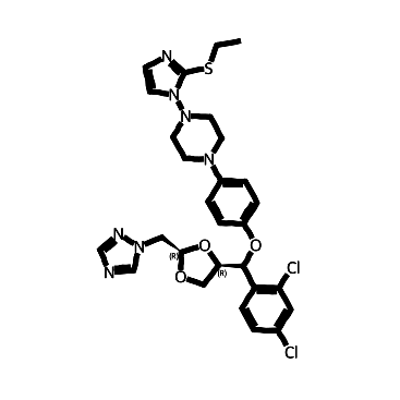 CCSc1nccn1N1CCN(c2ccc(OC(c3ccc(Cl)cc3Cl)[C@H]3CO[C@@H](Cn4cncn4)O3)cc2)CC1